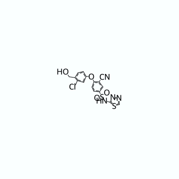 N#Cc1cc(S(=O)(=O)Nc2nncs2)ccc1Oc1ccc(CO)c(Cl)c1